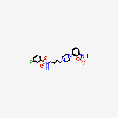 O=c1[nH]c2cccc(N3CCN(CCCCNS(=O)(=O)c4cccc(F)c4)CC3)c2o1